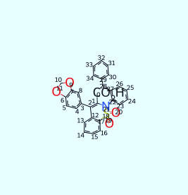 O=C(O)C1=C(c2ccc3c(c2)OCO3)c2ccccc2S(=O)(=O)N1c1ccccc1Cc1ccccc1